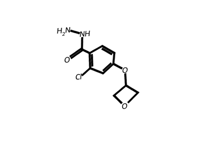 NNC(=O)c1ccc(OC2COC2)cc1Cl